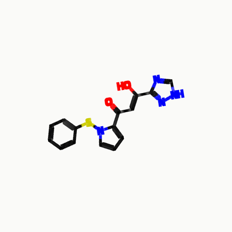 O=C(C=C(O)c1nc[nH]n1)c1cccn1Sc1ccccc1